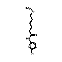 CC(C)c1cnc(NC(=O)CCCCCNC(=O)O)s1